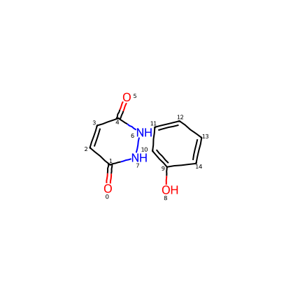 O=c1ccc(=O)[nH][nH]1.Oc1ccccc1